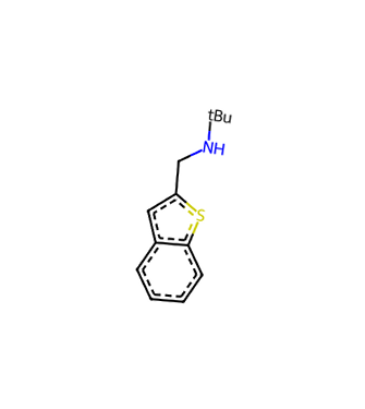 CC(C)(C)NCc1cc2ccccc2s1